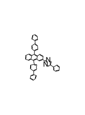 c1ccc(-c2ccc(-c3c4ccccc4c(-c4ccc(-c5ccccc5)cc4)c4cc(-c5ncc(-c6ccccc6)cn5)ccc34)cc2)cc1